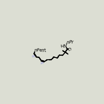 [CH2]CCNC(=O)C(C)(C)CCCCCC/C=C\C/C=C\CCCCC